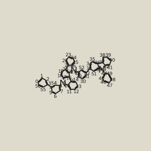 c1ccc(-c2cccc(-n3c4ccccc4c4c3ccc3c5ccccc5n(-c5cccc(-c6ccc7c8ccccc8n(-c8ccccc8)c7c6)c5)c34)c2)cc1